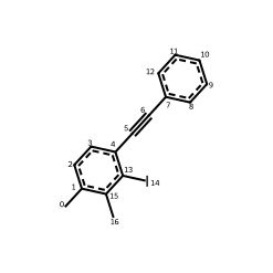 Cc1ccc(C#Cc2ccccc2)c(I)c1C